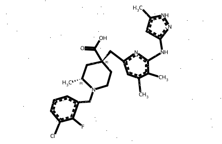 Cc1cc(Nc2nc(C[C@@]3(C(=O)O)CCN(Cc4cccc(Cl)c4F)[C@H](C)C3)cc(C)c2C)n[nH]1